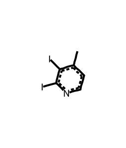 Cc1ccnc(I)c1I